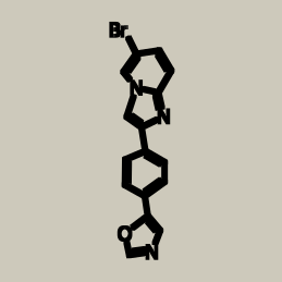 Brc1ccc2nc(-c3ccc(-c4cnco4)cc3)cn2c1